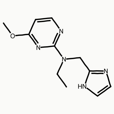 CCN(Cc1ncc[nH]1)c1nccc(OC)n1